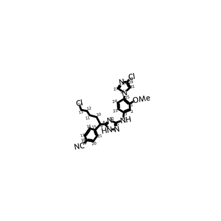 COc1cc(Nc2n[nH]c(C(CCCCCl)c3ccc(C#N)cc3)n2)ccc1-n1cnc(Cl)c1